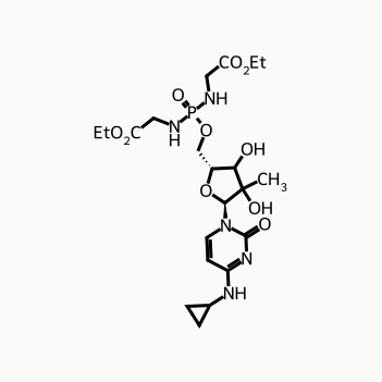 CCOC(=O)CNP(=O)(NCC(=O)OCC)OC[C@H]1O[C@H](n2ccc(NC3CC3)nc2=O)C(C)(O)C1O